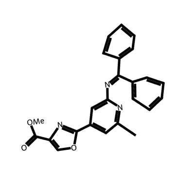 COC(=O)c1coc(-c2cc(C)nc(N=C(c3ccccc3)c3ccccc3)c2)n1